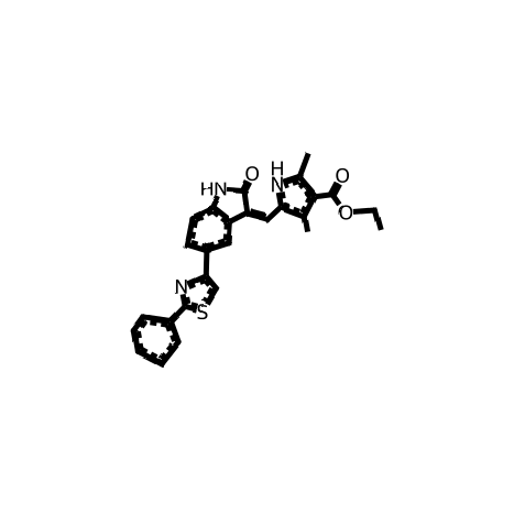 CCOC(=O)c1c(C)[nH]c(/C=C2\C(=O)Nc3ccc(-c4csc(-c5ccccc5)n4)cc32)c1C